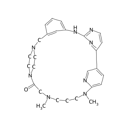 CN1CCCN(C)c2ccc(cn2)-c2ccnc(n2)Nc2cccc(c2)CN2CCN(CC2)C(=O)C1